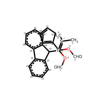 C[Si](C)=[Ti]([O]C=O)([O]C=O)([C]1=CC=CC1)[CH]1c2ccccc2-c2ccccc21